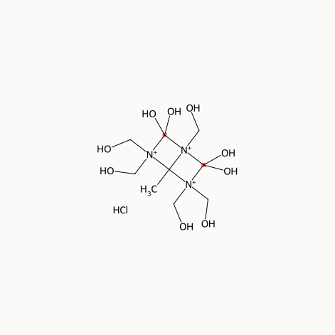 CC([N+](CO)(CO)CO)([N+](CO)(CO)CO)[N+](CO)(CO)CO.Cl